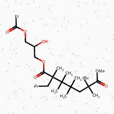 CCC(=O)OCC(O)COC(=O)C(C)(CC(C)C)C(C)(C)C(C)(C)CC(C)(C(=O)OC)C(C)(C)C